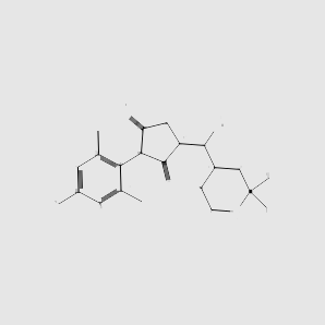 Cc1cc(C)c(C2C(=O)CC(C(O)C3CCOC(C)(C)C3)C2=O)c(C)c1